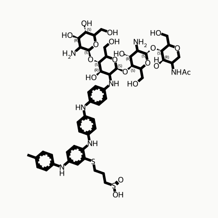 CC(=O)NC1COC(CO)[C@@H](O[C@@H]2OC(CO)[C@@H](O[C@@H]3OC(CO)[C@@H](O[C@@H]4OC(CO)[C@@H](O)[C@H](O)C4N)[C@H](O)C3Nc3ccc(Nc4ccc(Nc5ccc(Nc6ccc(C)cc6)cc5SCCCS(=O)O)cc4)cc3)[C@H](O)C2N)[C@@H]1O